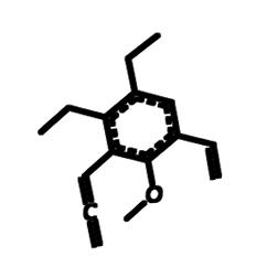 C=C=Cc1c(CC)c(CC)cc(C=C)c1OC